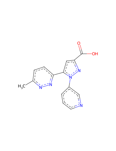 Cc1ccc(-c2cc(C(=O)O)nn2-c2cccnc2)nn1